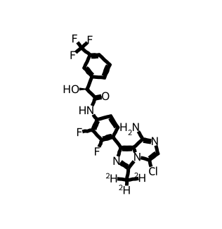 [2H]C([2H])([2H])c1nc(-c2ccc(NC(=O)[C@@H](O)c3cccc(C(F)(F)F)c3)c(F)c2F)c2c(N)ncc(Cl)n12